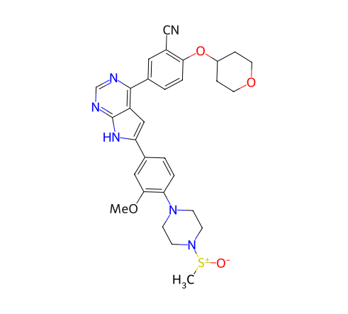 COc1cc(-c2cc3c(-c4ccc(OC5CCOCC5)c(C#N)c4)ncnc3[nH]2)ccc1N1CCN([S+](C)[O-])CC1